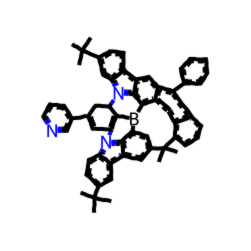 CC(C)(C)c1ccc2c(c1)c1cc3cc4c1n2C1=C2B4c4c5cc6c(cccc6c(-c6ccccc6)c5cc5c6ccc(C(C)(C)C)cc6n(c45)C2CC(c2cccnc2)=C1)C3(C)C